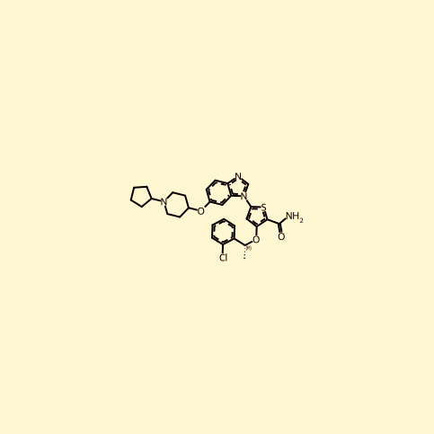 C[C@@H](Oc1cc(-n2cnc3ccc(OC4CCN(C5CCCC5)CC4)cc32)sc1C(N)=O)c1ccccc1Cl